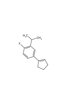 CC(C)c1cc(C2=CCCC2)ccc1F